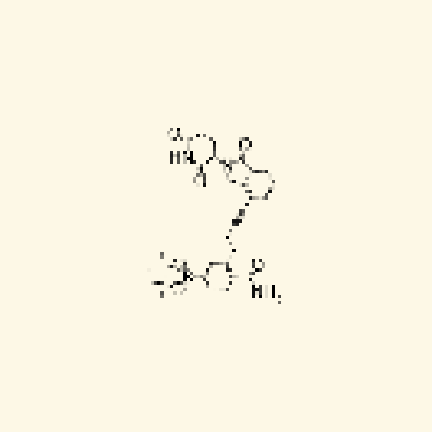 CC1(C)OB(c2ccc(C(N)=O)c(CCC#Cc3cccc4c3CN(C3CCC(=O)NC3=O)C4=O)c2)OC1(C)C